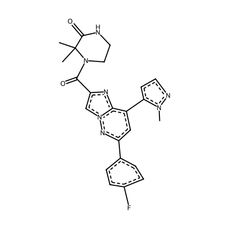 Cn1nccc1-c1cc(-c2ccc(F)cc2)nn2cc(C(=O)N3CCNC(=O)C3(C)C)nc12